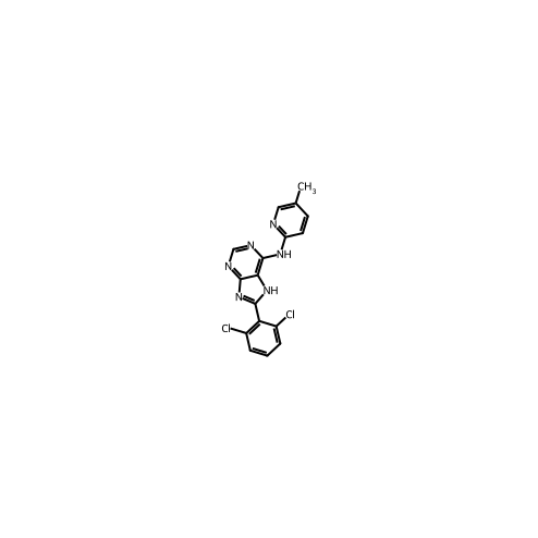 Cc1ccc(Nc2ncnc3nc(-c4c(Cl)cccc4Cl)[nH]c23)nc1